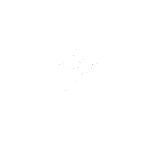 C=CCN1c2c(cc(Cl)c(C)c2[N+](=O)[O-])CN(CCOC)S1(=O)=O